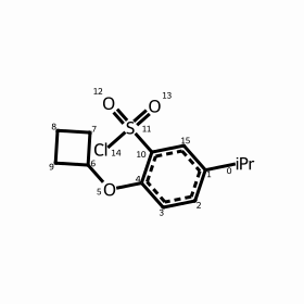 CC(C)c1ccc(OC2CCC2)c(S(=O)(=O)Cl)c1